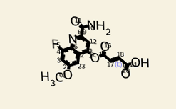 COc1cc(F)c2nc(C(N)=O)cc(OC(=O)/C=C/C(=O)O)c2c1